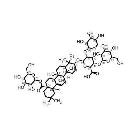 CC1(C)CC[C@]2(C(=O)O[C@@H]3O[C@H](CO)[C@@H](O)[C@H](O)[C@H]3O)CC[C@]3(C)C(=CC[C@@H]4[C@@]5(C)CC[C@H](O[C@@H]6O[C@H](C(=O)O)[C@@H](O[C@@H]7O[C@H](CO)[C@@H](O)[C@H](O)[C@H]7O)[C@H](O)[C@H]6O[C@@H]6OC[C@H](O)[C@H](O)[C@H]6O)C(C)(C)[C@@H]5CC[C@]43C)[C@@H]2C1